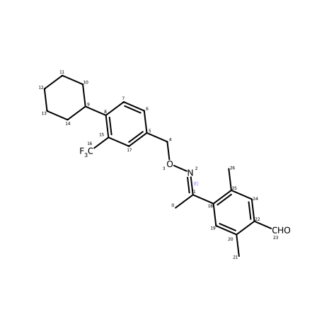 C/C(=N\OCc1ccc(C2CCCCC2)c(C(F)(F)F)c1)c1cc(C)c(C=O)cc1C